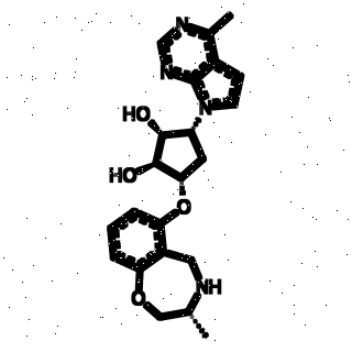 Cc1ncnc2c1ccn2[C@@H]1C[C@H](Oc2cccc3c2CN[C@H](C)CO3)[C@@H](O)[C@H]1O